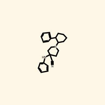 N#CC1(Nc2ccccc2)CCN(C2CCCCC2c2ccccc2)CC1